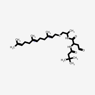 CC(C)=CCC/C(C)=C/CC/C(C)=C/CSCC(C)NC(=O)C(CC=O)NC(=O)CC(C)(C)C